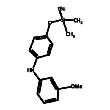 COc1cccc(Nc2ccc(O[Si](C)(C)C(C)(C)C)cc2)c1